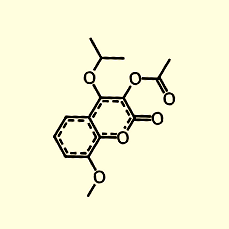 COc1cccc2c(OC(C)C)c(OC(C)=O)c(=O)oc12